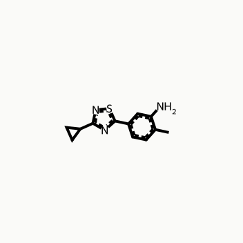 Cc1ccc(-c2nc(C3CC3)ns2)cc1N